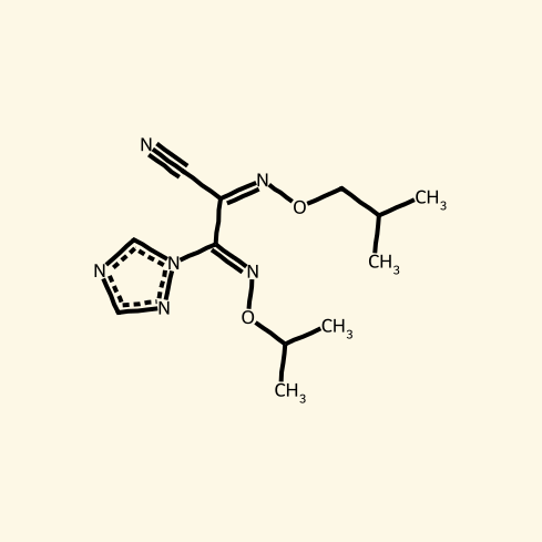 CC(C)CO/N=C(C#N)\C(=N\OC(C)C)n1cncn1